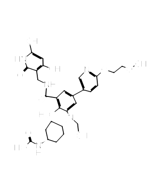 CCN(c1cc(-c2ccc(OCCOC)nc2)cc(C(=O)NCc2c(C)cc(C)[nH]c2=O)c1C)[C@H]1CC[C@H](NC(=O)O)CC1